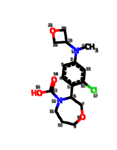 CN(c1ccc(C2COCCCN2C(=O)O)c(Cl)c1)C1COC1